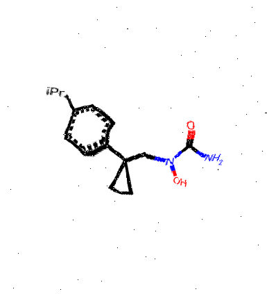 CC(C)c1ccc(C2(CN(O)C(N)=O)CC2)cc1